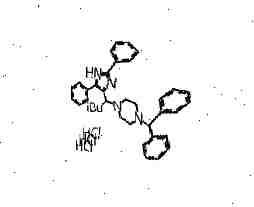 CCC(C)C(c1nc(-c2ccccc2)[nH]c1-c1ccccc1)N1CCN(C(c2ccccc2)c2ccccc2)CC1.Cl.Cl.Cl